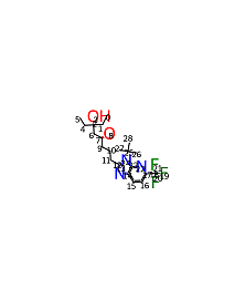 CCC(O)(CC)CC(=O)CCCc1nc2ccc(C(F)(F)F)nc2n1C(C)(C)C